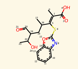 CC(C(=O)O)=C(Sc1nc2ccccc2o1)C(C)CC(C=O)C(C)O